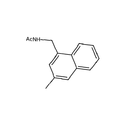 CC(=O)NCc1cc(C)cc2ccccc12